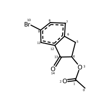 CC(=O)OC1Cc2ccc(Br)cc2C1=O